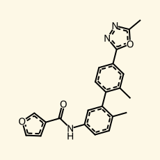 Cc1nnc(-c2ccc(-c3cc(NC(=O)c4ccoc4)ccc3C)c(C)c2)o1